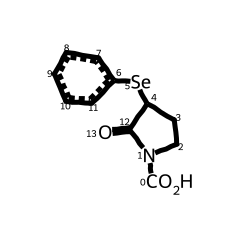 O=C(O)N1CCC([Se]c2ccccc2)C1=O